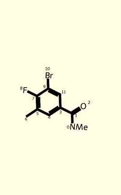 CNC(=O)c1cc(C)c(F)c(Br)c1